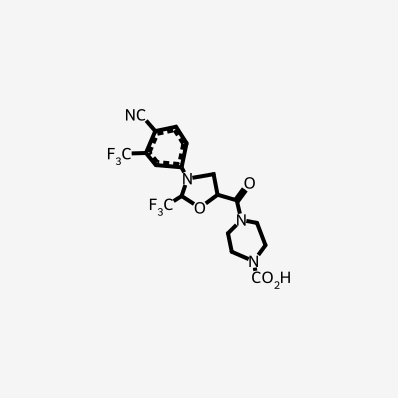 N#Cc1ccc(N2CC(C(=O)N3CCN(C(=O)O)CC3)OC2C(F)(F)F)cc1C(F)(F)F